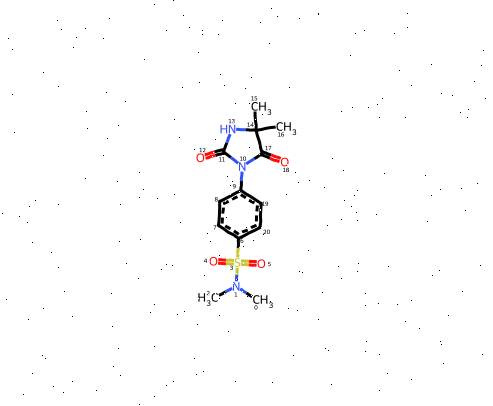 CN(C)S(=O)(=O)c1ccc(N2C(=O)NC(C)(C)C2=O)cc1